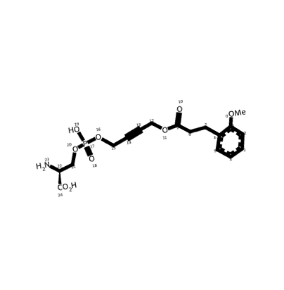 COc1ccccc1CCC(=O)OCC#CCOP(=O)(O)OC[C@H](N)C(=O)O